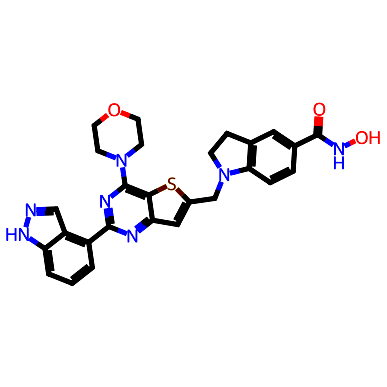 O=C(NO)c1ccc2c(c1)CCN2Cc1cc2nc(-c3cccc4[nH]ncc34)nc(N3CCOCC3)c2s1